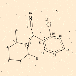 CC1CCCC(C)N1C(C#N)c1ccccc1Cl